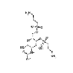 CCCC(=O)N[C@H]1C(O)O[C@H](COS(=O)(=O)CCCN)[C@@H](OS(=O)(=O)CCCN)[C@@H]1O